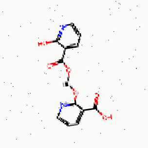 O=C(OBOc1ncccc1C(=O)O)c1cccnc1O